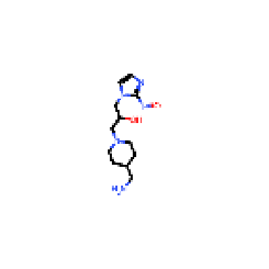 NCC1CCN(CC(O)Cn2ccnc2N=O)CC1